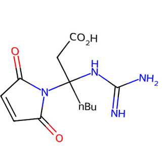 C[CH]CCC(CC(=O)O)(NC(=N)N)N1C(=O)C=CC1=O